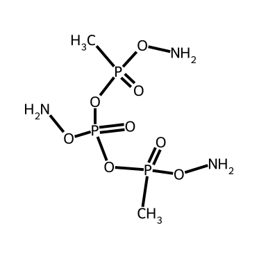 CP(=O)(ON)OP(=O)(ON)OP(C)(=O)ON